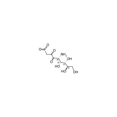 N[C@@H](C(=O)C(=O)CP(=O)=O)[C@@H](O)[C@H](O)[C@H](O)CO